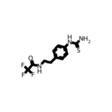 NC(=S)Nc1ccc(CCNC(=O)C(F)(F)F)cc1